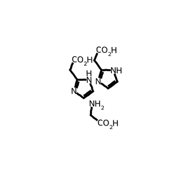 NCC(=O)O.O=C(O)Cc1ncc[nH]1.O=C(O)Cc1ncc[nH]1